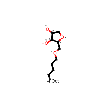 CCCCCCCCCCCCOCC1OCC(O)C1O